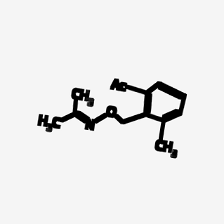 CC(=O)c1cccc(C)c1CON=C(C)C